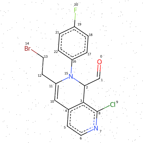 O=CC1c2c(ccnc2Cl)C=C(CCBr)N1c1ccc(F)cc1